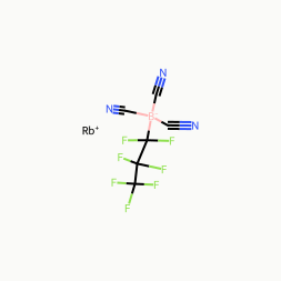 N#C[B-](C#N)(C#N)C(F)(F)C(F)(F)C(F)(F)F.[Rb+]